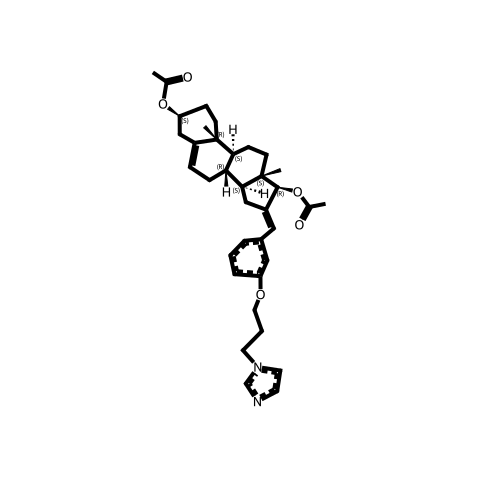 CC(=O)O[C@H]1CC[C@@]2(C)C(=CC[C@H]3[C@@H]4CC(=Cc5cccc(OCCCn6ccnc6)c5)[C@H](OC(C)=O)[C@@]4(C)CC[C@@H]32)C1